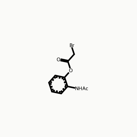 CC(=O)Nc1ccccc1OC(=O)CBr